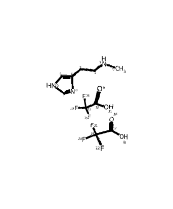 CNCCc1c[nH]cn1.O=C(O)C(F)(F)F.O=C(O)C(F)(F)F